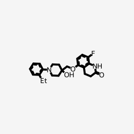 CCc1ccccc1N1CCC(O)(COc2ccc(F)c3c2CCC(=O)N3)CC1